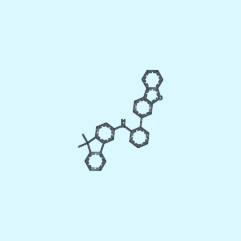 CC1(C)c2ccccc2-c2cc(Nc3ccccc3-c3ccc4c(c3)oc3ccccc34)ccc21